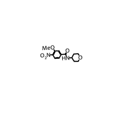 COc1cc(C(=O)NC2CCOCC2)ccc1[N+](=O)[O-]